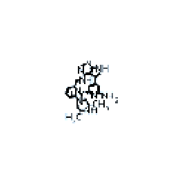 Cc1cc(-c2c[nH]c3ncnc(NCc4cccc(N5C[C@@H](C)N[C@@H](C)C5)n4)c23)cc(N)n1